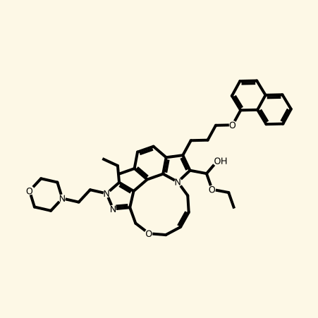 CCOC(O)c1c(CCCOc2cccc3ccccc23)c2ccc(C)c3c2n1C/C=C\COCc1nn(CCN2CCOCC2)c(CC)c1-3